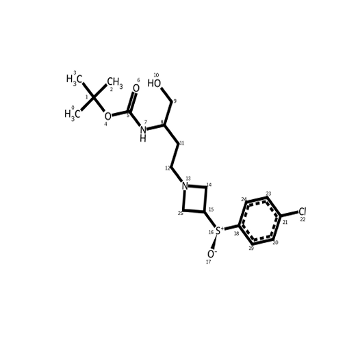 CC(C)(C)OC(=O)NC(CO)CCN1CC([S@+]([O-])c2ccc(Cl)cc2)C1